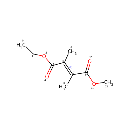 CCOC(=O)/C(C)=C(\C)C(=O)OC